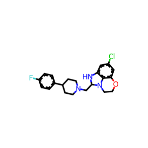 Fc1ccc(C2CCN(CC3Nc4cc(Cl)cc5c4N3CCO5)CC2)cc1